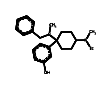 CCN(C)C1CCC(c2cccc(O)c2)(N(C)Cc2ccccc2)CC1